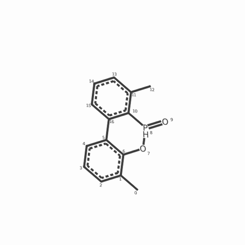 Cc1cccc2c1O[PH](=O)c1c(C)cccc1-2